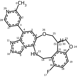 Cc1cc(-c2cc3c(n4cnnc24)NCc2c(F)ccc4c2[C@@H](CO4)CO3)ccn1